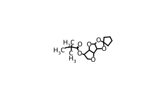 CCC(C)(C)C(=O)OC1COC2C1OC1OC3(CCCC3)OC12